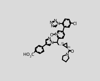 O=C(O)c1ccc(-c2cnn(C(C[C@@H]3C[C@@H]3C(=O)N3CCCC3)c3ccc(-c4cc(Cl)ccc4-n4cnnn4)c[n+]3[O-])c2)cc1